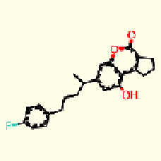 CC(CCCc1ccc(F)cc1)c1cc(O)c2c3c(c(=O)oc2c1)CCC3